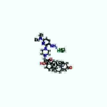 CCN(CC)c1ccc(N)c(N2CCN(CC(=O)[C@@]3(O)CC[C@H]4[C@@H]5CCC6=CC(=O)CC[C@]6(C)C5=CC[C@@]43C)CC2)n1.Cl.Cl